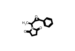 CC(C1OC1c1ccccc1)N1C(=O)CCC1=O